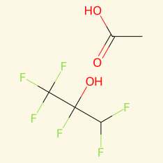 CC(=O)O.OC(F)(C(F)F)C(F)(F)F